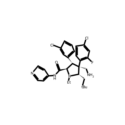 CCN1[C@@H](CC(C)(C)C)[C@](CN)(c2ccc(Cl)cc2F)[C@@H](c2cccc(Cl)c2)[C@@H]1C(=O)Nc1ccncc1